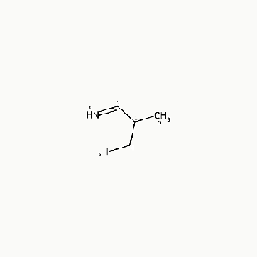 CC(C=N)CI